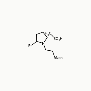 CCCCCCCCCCCN1CCCC1CC.CS(=O)(=O)O